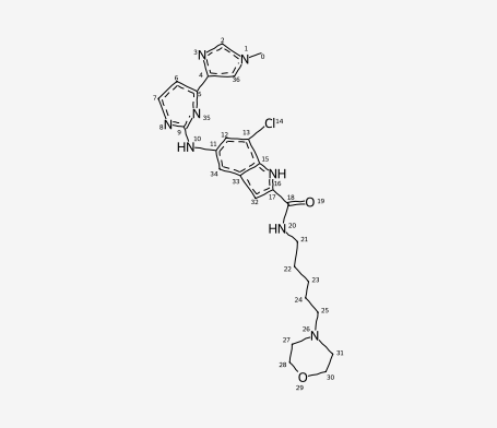 Cn1cnc(-c2ccnc(Nc3cc(Cl)c4[nH]c(C(=O)NCCCCCN5CCOCC5)cc4c3)n2)c1